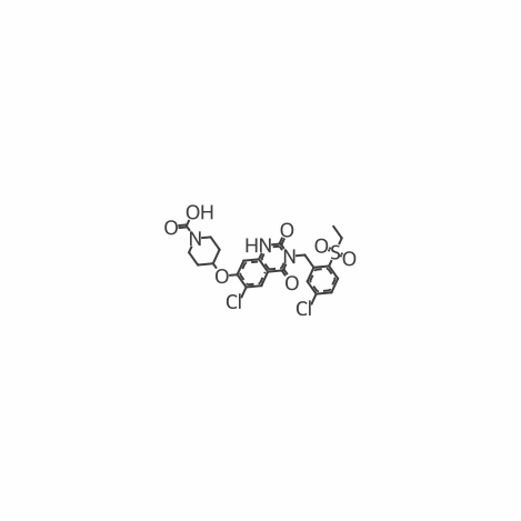 CCS(=O)(=O)c1ccc(Cl)cc1Cn1c(=O)[nH]c2cc(OC3CCN(C(=O)O)CC3)c(Cl)cc2c1=O